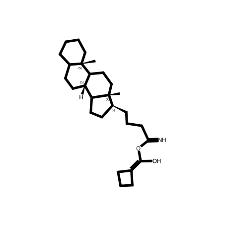 C[C@]12CCCCC1CC[C@@H]1C2CC[C@@]2(C)C1CC[C@@H]2CCCC(=N)OC(O)=C1CCC1